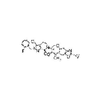 CN1C(=O)[C@@H](N2CCc3c(nn(Cc4ccccc4F)c3Cl)C2=O)COc2cc3nc(C4CC4)oc3cc21